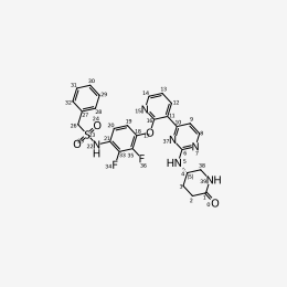 O=C1CC[C@H](Nc2nccc(-c3cccnc3Oc3ccc(NS(=O)(=O)Cc4ccccc4)c(F)c3F)n2)CN1